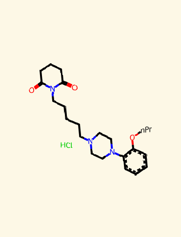 CCCOc1ccccc1N1CCN(CCCCCN2C(=O)CCCC2=O)CC1.Cl